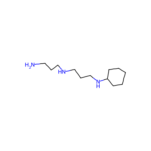 NCCCNCCCNC1CCCCC1